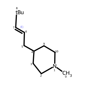 CN1CCC(C/C=C/C(C)(C)C)CC1